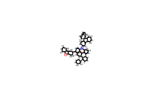 c1ccc(-c2ccccc2-c2ccccc2-c2ccccc2N(c2ccc(-c3ccc4oc5ccccc5c4c3)cc2)c2ccc3c(c2)-c2ccccc2C32C3CC4CC(C3)CC2C4)cc1